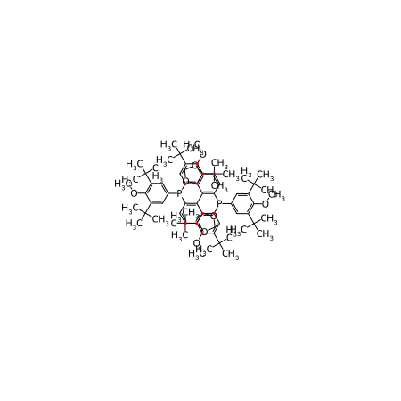 COc1c(C(C)(C)C)cc(P(c2cc(C(C)(C)C)c(OC)c(C(C)(C)C)c2)c2ccc3c(c2-c2c(P(c4cc(C(C)(C)C)c(OC)c(C(C)(C)C)c4)c4cc(C(C)(C)C)c(OC)c(C(C)(C)C)c4)ccc4c2OCO4)OCO3)cc1C(C)(C)C